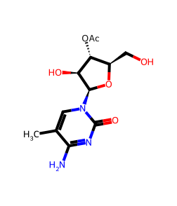 CC(=O)O[C@H]1[C@H](O)[C@H](n2cc(C)c(N)nc2=O)O[C@@H]1CO